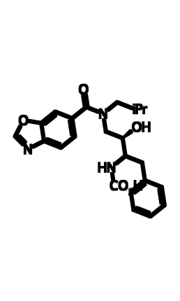 CC(C)CN(C[C@@H](O)C(Cc1ccccc1)NC(=O)O)C(=O)c1ccc2ncoc2c1